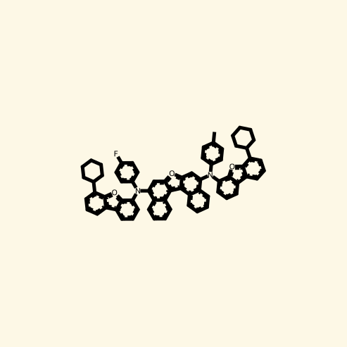 Cc1ccc(N(c2cc3oc4cc(N(c5ccc(F)cc5)c5cccc6c5oc5c(C7CCCCC7)cccc56)c5ccccc5c4c3c3ccccc23)c2cccc3c2oc2c(C4CCCCC4)cccc23)cc1